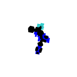 CN1CCN(C2CC(C3=C4C=NC=C[N+]4(N)C(c4ccc5c(C(F)(F)F)cc(-c6ccccc6)nc5c4)=N3)C2)CC1